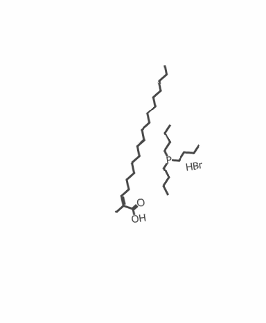 Br.CCCCCCCCCCCCCCCCC=C(C)C(=O)O.CCCCP(CCCC)CCCC